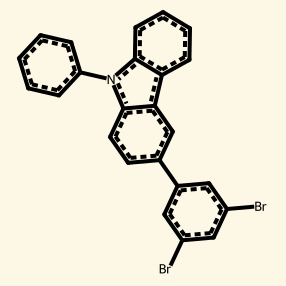 Brc1cc(Br)cc(-c2ccc3c(c2)c2ccccc2n3-c2ccccc2)c1